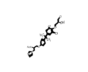 CC(=O)O[C@@H](COc1ccc(C(C)(C)c2cc(Cl)c(OC[C@H](O)CCl)c(Cl)c2)cc1)Cn1ccnc1